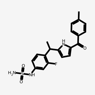 Cc1ccc(C(=O)c2ccc(C(C)c3ccc(NS(N)(=O)=O)cc3F)[nH]2)cc1